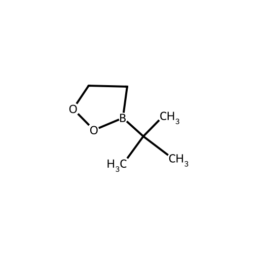 CC(C)(C)B1CCOO1